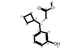 COC(=O)C[C@H](c1cccc(O)c1)C1CCC1